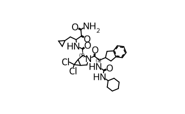 NC(=O)C(=O)C(CC1CC1)NC(=O)[C@@H]1C2C(CN1C(=O)[C@@H](NC(=O)NC1CCCCC1)C1Cc3ccccc3C1)C2(Cl)Cl